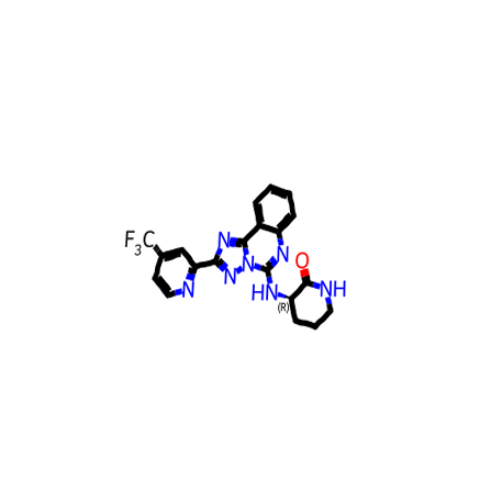 O=C1NCCC[C@H]1Nc1nc2ccccc2c2nc(-c3cc(C(F)(F)F)ccn3)nn12